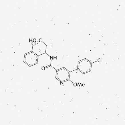 COc1ncc(C(=O)NC(CC(=O)O)c2ccccc2Cl)cc1-c1ccc(Cl)cc1